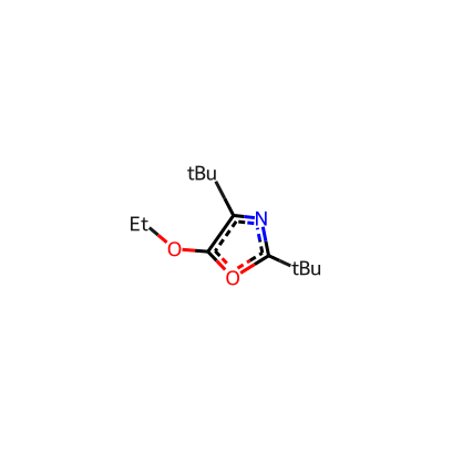 CCOc1oc(C(C)(C)C)nc1C(C)(C)C